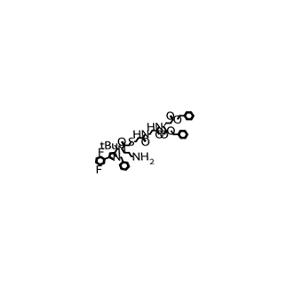 CC(C)(C)[C@H](c1cc(-c2cc(F)ccc2F)cn1Cc1ccccc1)N(CCCN)C(=O)CSCCC(=O)NCCC(=O)N[C@@H](CCC(=O)OCc1ccccc1)C(=O)OCc1ccccc1